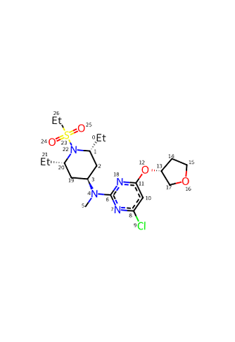 CC[C@@H]1C[C@@H](N(C)c2nc(Cl)cc(O[C@@H]3CCOC3)n2)C[C@H](CC)N1S(=O)(=O)CC